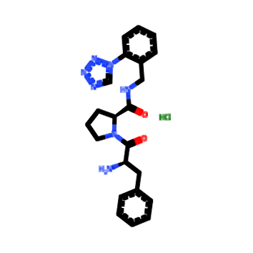 Cl.N[C@H](Cc1ccccc1)C(=O)N1CCC[C@H]1C(=O)NCc1ccccc1-n1cnnn1